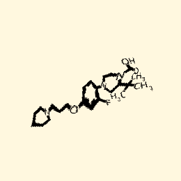 CC(C)(C)C1CN(c2ccc(OCCCN3CCCCC3)cc2F)CCN1C(=O)O